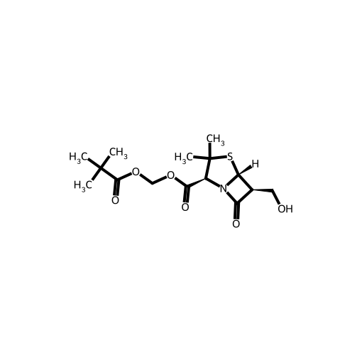 CC(C)(C)C(=O)OCOC(=O)[C@@H]1N2C(=O)[C@H](CO)[C@H]2SC1(C)C